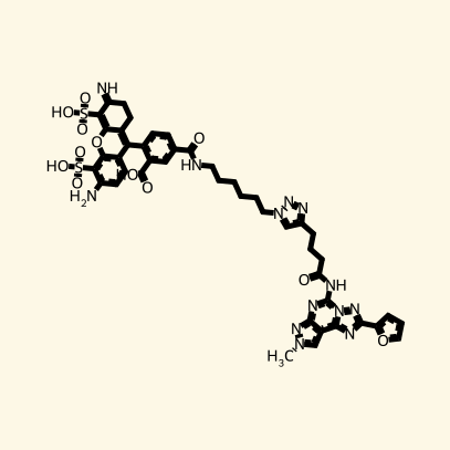 Cn1cc2c(nc(NC(=O)CCCc3cn(CCCCCCNC(=O)c4ccc(C5=C6CCC(=N)C(S(=O)(=O)O)=C6Oc6c5ccc(N)c6S(=O)(=O)O)c(C(=O)O)c4)nn3)n3nc(-c4ccco4)nc23)n1